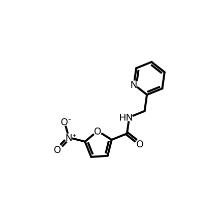 O=C(NCc1ccccn1)c1ccc([N+](=O)[O-])o1